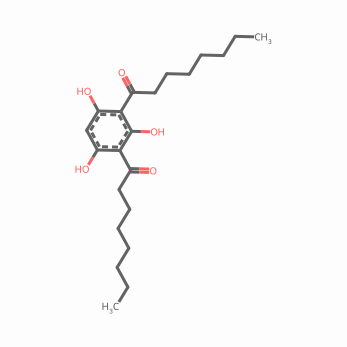 CCCCCCCC(=O)c1c(O)cc(O)c(C(=O)CCCCCCC)c1O